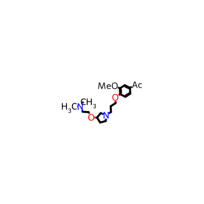 COc1cc(C(C)=O)ccc1OCCCN1CCC(OCCN(C)C)C1